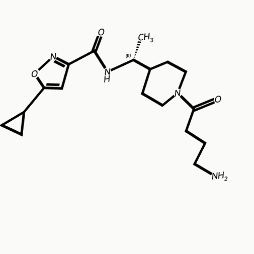 C[C@@H](NC(=O)c1cc(C2CC2)on1)C1CCN(C(=O)CCCN)CC1